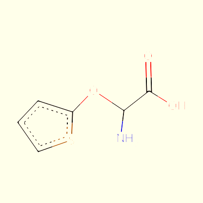 NC(Oc1cccs1)C(=O)O